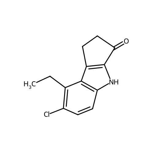 CCc1c(Cl)ccc2[nH]c3c(c12)CCC3=O